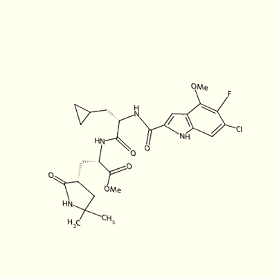 COC(=O)[C@H](C[C@@H]1CC(C)(C)NC1=O)NC(=O)[C@H](CC1CC1)NC(=O)c1cc2c(OC)c(F)c(Cl)cc2[nH]1